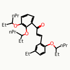 CCCC(CC)Oc1ccc(CC)cc1C=CC(=O)c1cccc(OC(CC)CCC)c1OC(CC)CCC